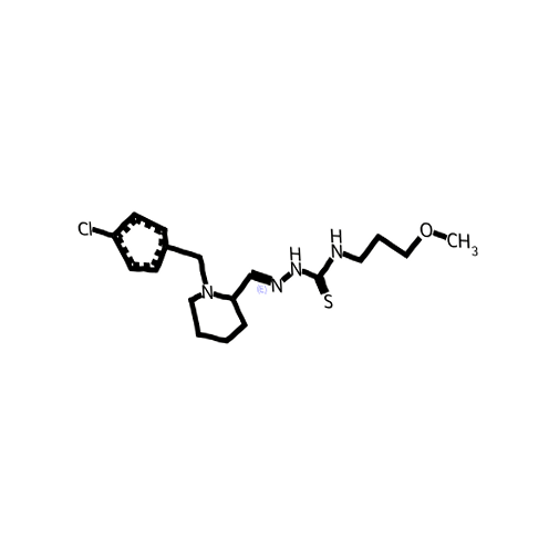 COCCCNC(=S)N/N=C/C1CCCCN1Cc1ccc(Cl)cc1